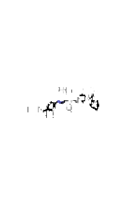 Cl.N=C(N)c1ccc(/C=C/C(=O)NCCN2CC(=O)N(C(C(=O)O)c3ccccc3)C2=O)cc1